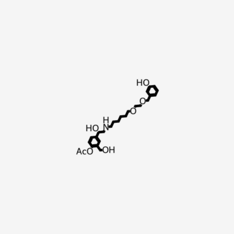 CC(=O)Oc1ccc(C(O)CNCCCCCCOCCOCc2cccc(O)c2)cc1CO